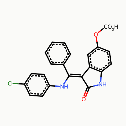 O=C(O)Oc1ccc2c(c1)/C(=C(/Nc1ccc(Cl)cc1)c1ccccc1)C(=O)N2